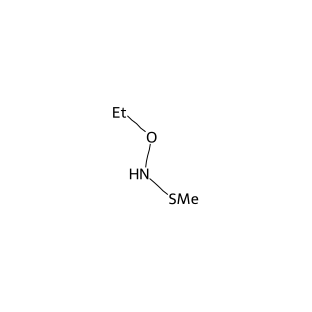 CCONSC